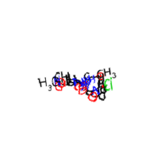 CO[C@H]1/C=C/C[C@H](C)C[S@@](=O)(NC(=O)N[C@H]2C[C@@H](COC(=O)N(C)C)C2)=NC(=O)c2ccc3c(c2)N(C[C@@H]2CC[C@H]21)C[C@@]1(CCCc2cc(Cl)ccc21)CO3